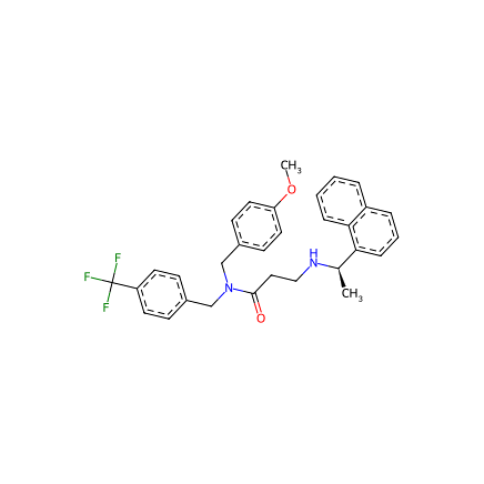 COc1ccc(CN(Cc2ccc(C(F)(F)F)cc2)C(=O)CCN[C@H](C)c2cccc3ccccc23)cc1